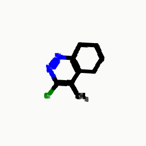 Cc1c(Cl)nnc2c1CCCC2